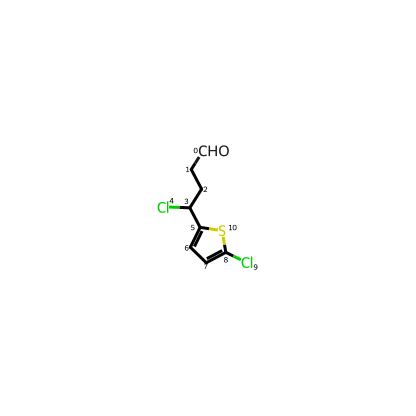 O=CCCC(Cl)c1ccc(Cl)s1